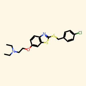 CCN(CC)CCOc1ccc2nc(SCc3ccc(Cl)cc3)sc2c1